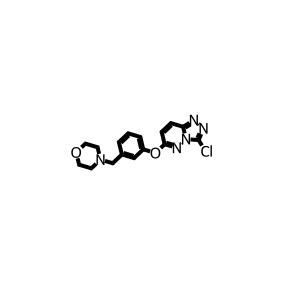 Clc1nnc2ccc(Oc3cccc(CN4CCOCC4)c3)nn12